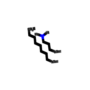 CCCCCCCCCCCCCCCCCC(=O)O.CCCCCCCCCCCCCN(CC)CC